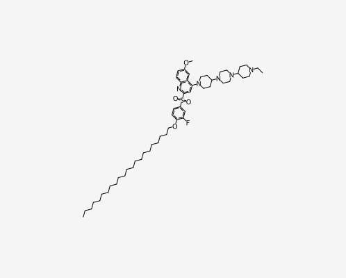 CCCCCCCCCCCCCCCCCCCCCCOc1ccc(S(=O)(=O)c2cc(N3CCC(N4CCN(C5CCN(CC)CC5)CC4)CC3)c3cc(OC)ccc3n2)cc1F